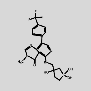 Cn1cnc2c(-c3ccc(C(F)(F)F)cc3)cnc(NCC3(O)CCS(O)(O)C3)c2c1=O